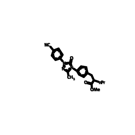 CCCC(Cc1ccc(-n2c(C)nn(-c3ccc(C#N)cc3)c2=O)cc1)C(=O)OC